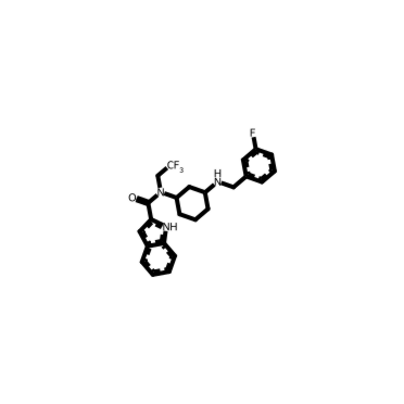 O=C(c1cc2ccccc2[nH]1)N(CC(F)(F)F)C1CCCC(NCc2cccc(F)c2)C1